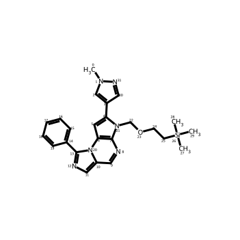 Cn1cc(-c2cc3c(ncc4cnc(-c5ccccc5)n43)n2COCC[Si](C)(C)C)cn1